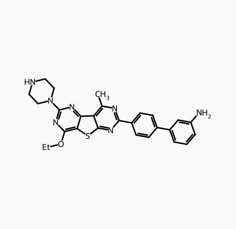 CCOc1nc(N2CCNCC2)nc2c1sc1nc(-c3ccc(-c4cccc(N)c4)cc3)nc(C)c12